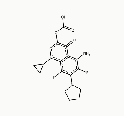 Nc1c(F)c(N2CCCC2)c(F)c2c1c(=O)c(OC(=O)O)cn2C1CC1